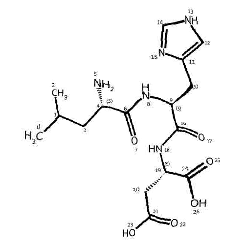 CC(C)C[C@H](N)C(=O)N[C@@H](Cc1c[nH]cn1)C(=O)N[C@@H](CC(=O)O)C(=O)O